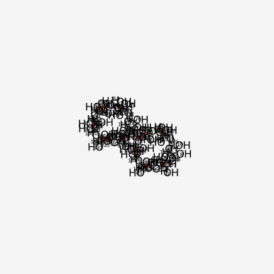 OC[C@H]1O[C@@H]2O[C@H]3C(O)C(O)[C@H](O[C@@H]3CO)O[C@H]3C(O)C(O)[C@H](O[C@@H]3CO)O[C@H]3C(O)C(O)[C@H](O[C@@H]3CO)O[C@H]3C(O)C(O)[C@H](O[C@@H]3CO)O[C@H]3C(O)C(O)C(OC1C(O)C2O)O[C@@H]3CO.OC[C@H]1O[C@@H]2O[C@H]3C(O)C(O)[C@H](O[C@@H]3CO)O[C@H]3C(O)C(O)[C@H](O[C@@H]3CO)O[C@H]3C(O)C(O)[C@H](O[C@@H]3CO)O[C@H]3C(O)C(O)[C@H](O[C@@H]3CO)O[C@H]3C(O)C(O)C(OC1C(O)C2O)O[C@@H]3CO